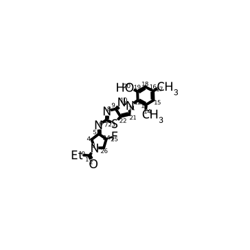 CCC(=O)N1C/C(=N/c2nc3nn(-c4c(C)cc(C)cc4O)cc3s2)[C@@H](F)C1